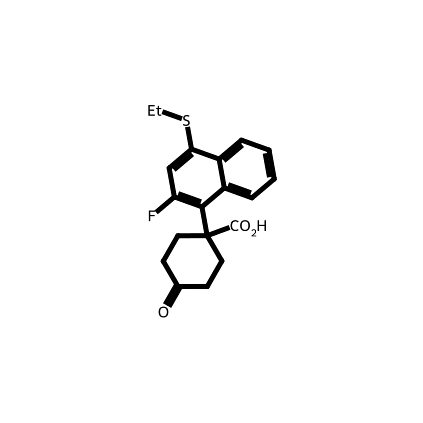 CCSc1cc(F)c(C2(C(=O)O)CCC(=O)CC2)c2ccccc12